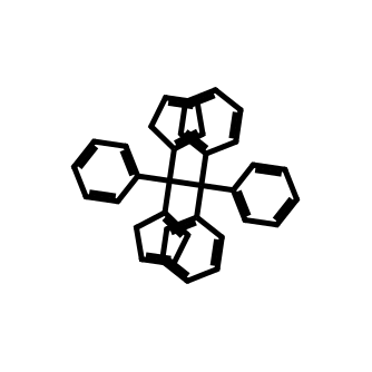 C1=CCC(C(C2=CC=CC2)(c2ccccc2)C(c2ccccc2)(c2ccccc2)c2ccccc2)=C1